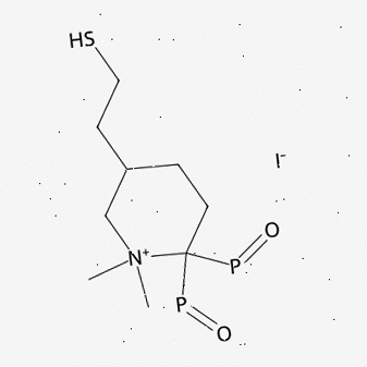 C[N+]1(C)CC(CCS)CCC1(P=O)P=O.[I-]